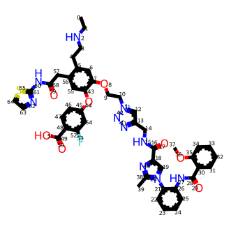 CCNCCc1cc(OCCn2cc(CNC(=O)c3cn(-c4ccccc4NC(=O)c4ccccc4OC)c(C)n3)nn2)c(Oc2ccc(C(=O)O)c(F)c2)cc1CC(=O)Nc1nccs1